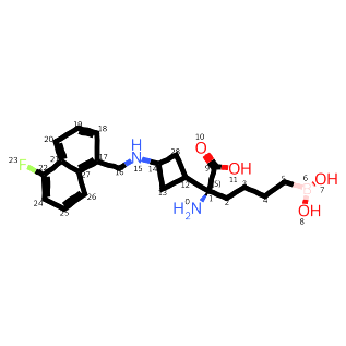 N[C@](CCCCB(O)O)(C(=O)O)C1CC(NCc2cccc3c(F)cccc23)C1